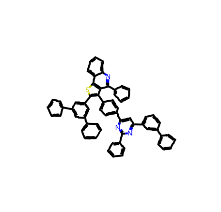 c1ccc(-c2cccc(-c3cc(-c4ccc(-c5c(-c6cc(-c7ccccc7)cc(-c7ccccc7)c6)sc6c5c(-c5ccccc5)nc5ccccc56)cc4)nc(-c4ccccc4)n3)c2)cc1